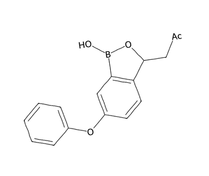 CC(=O)CC1OB(O)c2cc(Oc3ccccc3)ccc21